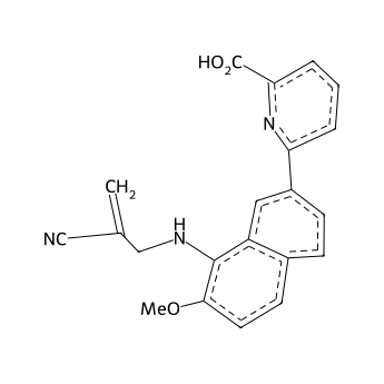 C=C(C#N)CNc1c(OC)ccc2ccc(-c3cccc(C(=O)O)n3)cc12